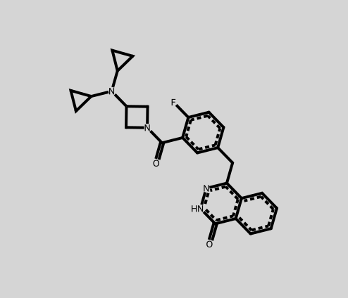 O=C(c1cc(Cc2n[nH]c(=O)c3ccccc23)ccc1F)N1CC(N(C2CC2)C2CC2)C1